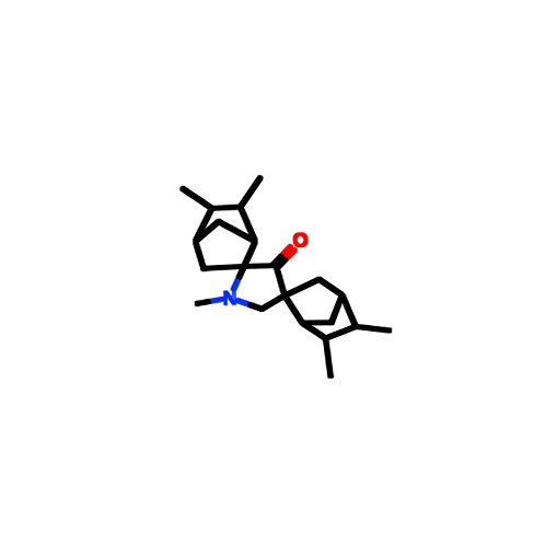 CC1C2CC(C1C)C1(C2)CN(C)C2(CC3CC2C(C)C3C)C1=O